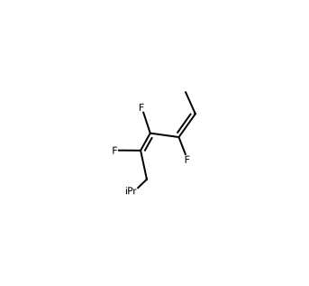 C/C=C(F)\C(F)=C(\F)CC(C)C